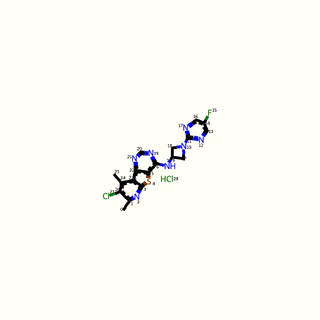 Cc1nc2sc3c(NC4CN(c5ncc(F)cn5)C4)ncnc3c2c(C)c1Cl.Cl